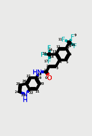 O=C(/C=C/c1ccc(C(F)(F)F)cc1C(F)(F)F)Nc1ccc2[nH]ccc2c1